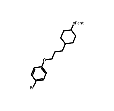 CCCCCC1CCC(CCCOc2ccc(Br)cc2)CC1